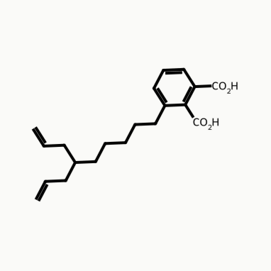 C=CCC(CC=C)CCCCCc1cccc(C(=O)O)c1C(=O)O